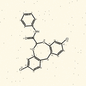 O=C(Nc1ccccc1)C1Oc2cc(Cl)ccc2Cc2ccc(Cl)cc2O1